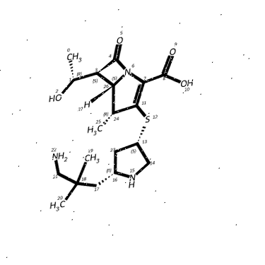 C[C@@H](O)[C@H]1C(=O)N2C(C(=O)O)=C(S[C@@H]3CN[C@H](CC(C)(C)CN)C3)[C@H](C)[C@H]12